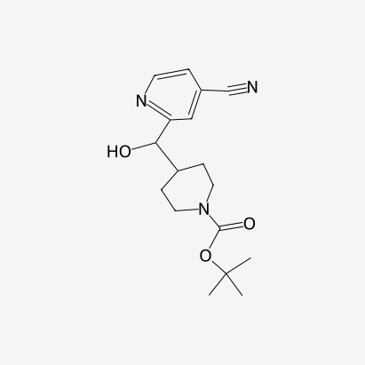 CC(C)(C)OC(=O)N1CCC(C(O)c2cc(C#N)ccn2)CC1